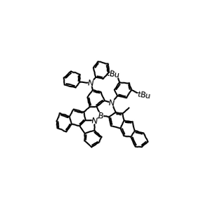 Cc1c2c(cc3cc4ccccc4cc13)B1c3c(cc(N(c4ccccc4)c4ccccc4)cc3N2c2cc(C(C)(C)C)cc(C(C)(C)C)c2)-c2cc3ccccc3c3c4ccccc4n1c23